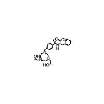 C[C@H](O)CN1CCN(Cc2ccc(C(=O)NC(Cc3ccccc3)C(=O)O)cc2)CCN(C[C@H](C)O)CC1